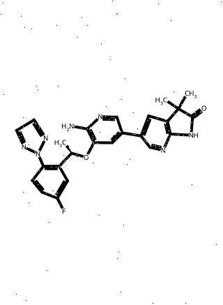 C[C@@H](Oc1cc(-c2cnc3c(c2)C(C)(C)C(=O)N3)cnc1N)c1cc(F)ccc1-n1nccn1